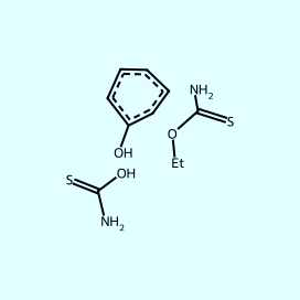 CCOC(N)=S.NC(O)=S.Oc1ccccc1